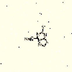 [Na+].[Na+].[O-]c1nc([S-])nc2ncnn12